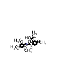 COc1cc(OC)c(/C=C/C(=O)Nc2ccc(OC)c(OC(C)C(=O)O)c2)c(OC)c1